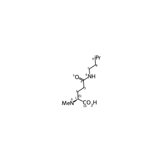 CN[C@@H](CCC(=O)NCCC(C)C)C(=O)O